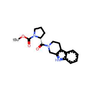 CC(C)(C)OC(=O)N1CCC[C@@H]1C(=O)N1CCc2c([nH]c3ccccc23)C1